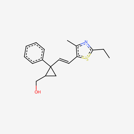 CCc1nc(C)c(/C=C/C2(c3ccccc3)CC2CO)s1